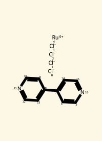 [Cl-].[Cl-].[Cl-].[Cl-].[Ru+4].c1cc(-c2ccncc2)ccn1